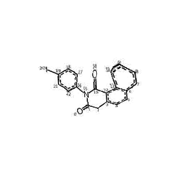 O=C1Cc2ccc3ccccc3c2C(=O)N1c1ccc(I)cc1